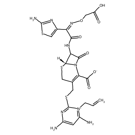 C=CC[n+]1c(N)cc(N)nc1SCC1=C(C(=O)[O-])N2C(=O)C(NC(=O)/C(=N\OCC(=O)O)c3csc(N)n3)[C@H]2SC1